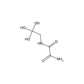 NC(=O)C(=O)NCC(O)(O)O